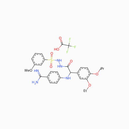 CCOc1cc(C(Nc2ccc(C(=N)N)cc2)C(=O)NNS(=O)(=O)c2cccc(OC)c2)ccc1OC(C)C.O=C(O)C(F)(F)F